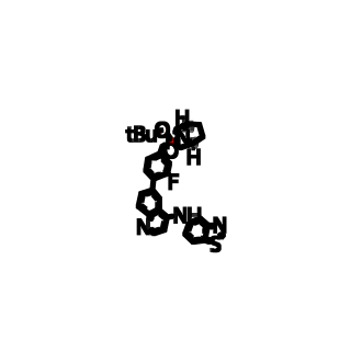 CC(C)(C)OC(=O)N1[C@@H]2CC[C@H]1CN(Cc1ccc(-c3ccc4nccc(Nc5ccc6scnc6c5)c4c3)c(F)c1)C2